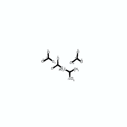 CC(C(=O)O)C(Cl)(Cl)Cl.ClC(Cl)Cl.ClC(Cl)Cl.ClC(Cl)Cl